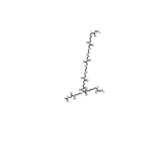 CC(=O)SCC(=O)NCCCC[C@H](NC(=O)CCCC(=O)NCCOCCOCC(=O)NCCOCCOCC(=O)NCCCC[C@H](C)C(N)=O)C(=O)NCCCC[C@@H](C)C(N)=O